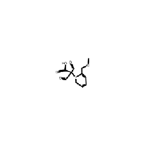 COCC1=CC=CCP1C(C=O)(C=O)C(=O)O